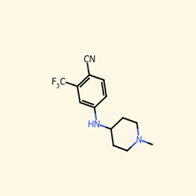 CN1CCC(Nc2ccc(C#N)c(C(F)(F)F)c2)CC1